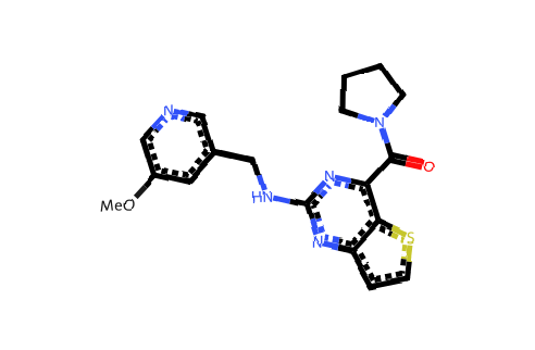 COc1cncc(CNc2nc(C(=O)N3CCCC3)c3sccc3n2)c1